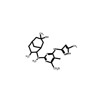 CCOC(=O)c1nc(N(C)C2C(C)CC3CC2CC(C)(O)C3)nc(Nc2cc(C)[nH]n2)c1F